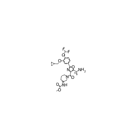 COC(=O)N[C@@H]1CCCN(C(=O)c2nc(-c3ccc(OC(F)F)c(OCC4CC4)c3)oc2[C@H](C)N)C1